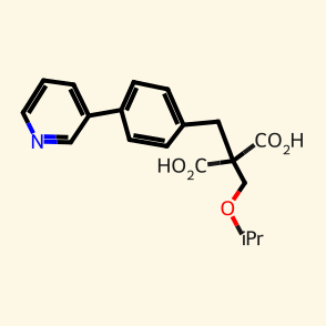 CC(C)OCC(Cc1ccc(-c2cccnc2)cc1)(C(=O)O)C(=O)O